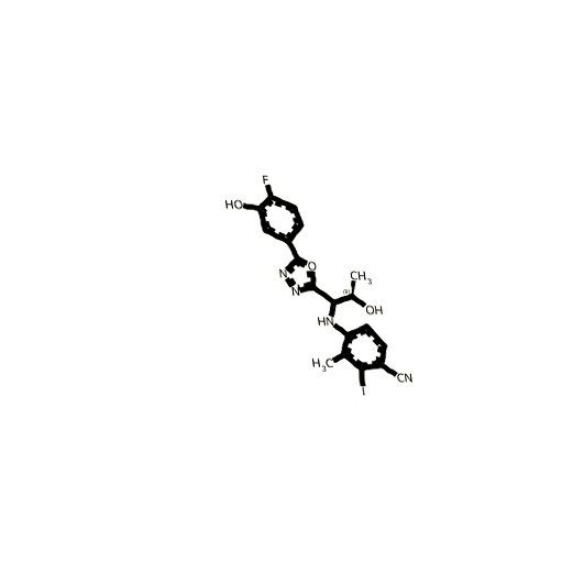 Cc1c(NC(c2nnc(-c3ccc(F)c(O)c3)o2)[C@@H](C)O)ccc(C#N)c1I